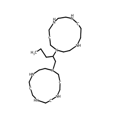 CCCC(CN1CCCNCCNCCCNCC1)N1CCCNCCNCCCNCC1